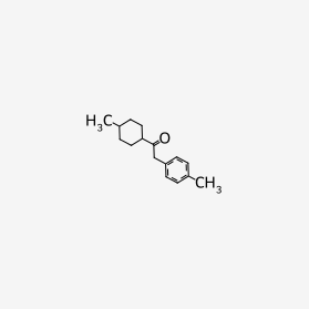 Cc1ccc(CC(=O)C2CCC(C)CC2)cc1